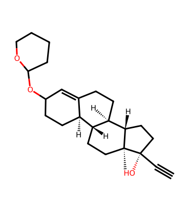 C#C[C@]1(O)CC[C@H]2[C@@H]3CCC4=CC(OC5CCCCO5)CC[C@@H]4[C@H]3CC[C@@]21C